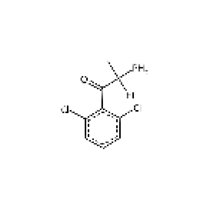 CCC(C)(P)C(=O)c1c(Cl)cccc1Cl